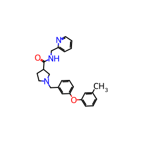 Cc1cccc(Oc2cccc(CN3CCC(C(=O)NCc4ccccn4)C3)c2)c1